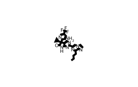 CCCCc1nc(-c2nc(N)c3c(n2)NC(=O)C3(c2ccc(C(F)(F)F)cn2)C2CC2)cn2ccnc12